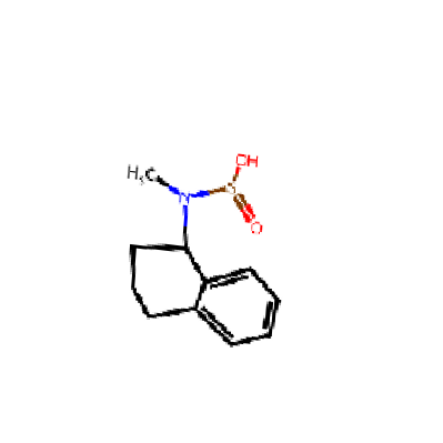 CN(C1CCCc2ccccc21)S(=O)O